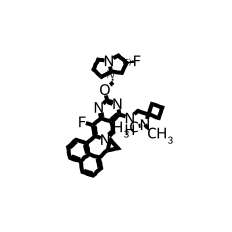 CN(C)C1(CNc2nc(OC[C@]34CCCN3C[C@@H](F)C4)nc3c(F)c(-c4cccc5cccc(C6CC6)c45)ncc23)CCC1